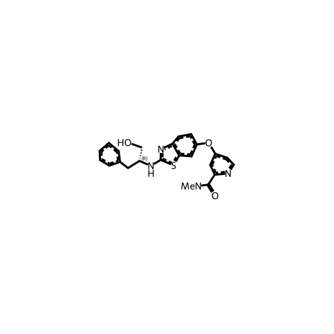 CNC(=O)c1cc(Oc2ccc3nc(N[C@@H](CO)Cc4ccccc4)sc3c2)ccn1